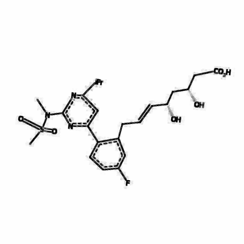 CC(C)c1cc(-c2ccc(F)cc2C/C=C/[C@@H](O)C[C@@H](O)CC(=O)O)nc(N(C)S(C)(=O)=O)n1